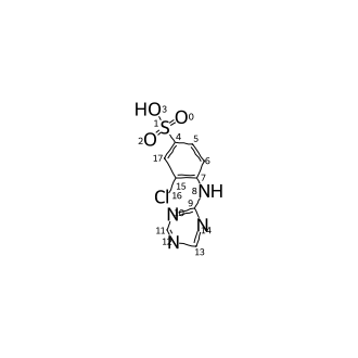 O=S(=O)(O)c1ccc(Nc2ncncn2)c(Cl)c1